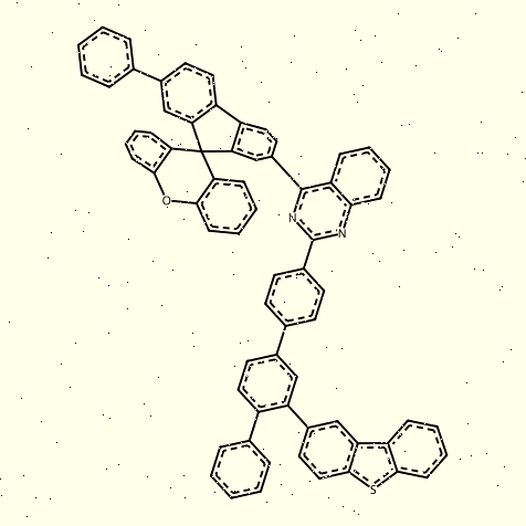 c1ccc(-c2ccc3c(c2)C2(c4ccccc4Oc4ccccc42)c2cc(-c4nc(-c5ccc(-c6ccc(-c7ccccc7)c(-c7ccc8sc9ccccc9c8c7)c6)cc5)nc5ccccc45)ccc2-3)cc1